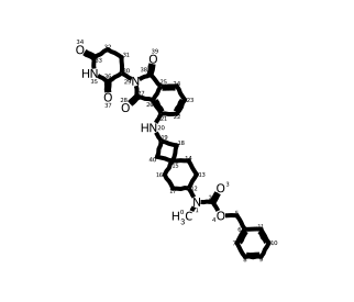 CN(C(=O)OCc1ccccc1)C1CCC2(CC1)CC(Nc1cccc3c1C(=O)N(C1CCC(=O)NC1=O)C3=O)C2